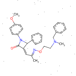 COc1ccc(N2C(=O)/C(=C/C(C)=NOCCN(C)Cc3ccccc3)C2c2ccccc2)cc1